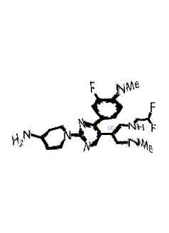 CNC/C(=C\NCC(F)F)c1cnc(N2CCC(N)CC2)nc1-c1ccc(NC)c(F)c1